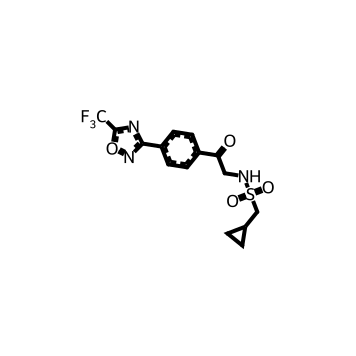 O=C(CNS(=O)(=O)CC1CC1)c1ccc(-c2noc(C(F)(F)F)n2)cc1